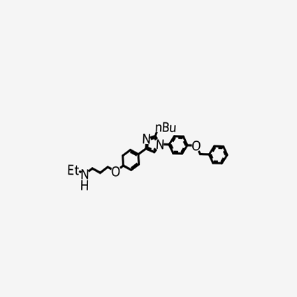 CCCCc1nc(C2=CCC(OCCCNCC)C=C2)cn1-c1ccc(OCc2ccccc2)cc1